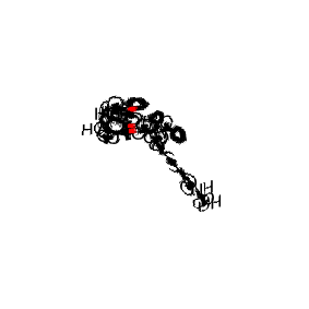 CC(=O)O[C@H]1C(=O)[C@@]2(C)[C@H]([C@H](OC(=O)c3ccccc3)[C@]3(O)C[C@H](OC(=O)[C@H](OC(=O)OCCSSCCOC(=O)NCCS(=O)(=O)O)[C@@H](NC(=O)c4ccccc4)c4ccccc4)C(C)=C1C3(C)C)[C@]1(OC(C)=O)CO[C@@H]1C[C@@H]2O